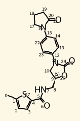 Cc1ccc(C(=O)NC[C@H]2CN(c3ccc(N4CCCC4=O)cc3)C(=O)O2)s1